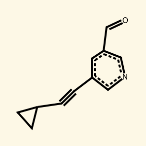 O=Cc1cncc(C#CC2CC2)c1